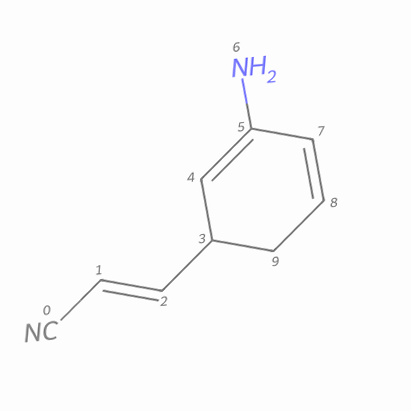 N#CC=CC1C=C(N)C=CC1